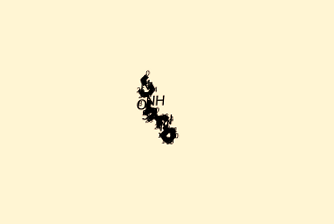 CCN1CCC(NC(=O)c2cc(-c3cnn(-c4ccccc4)c3)cs2)CC1